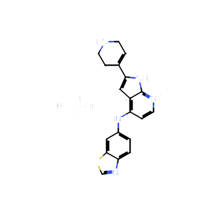 C1=C(c2cc3c(Nc4ccc5ncsc5c4)ccnc3[nH]2)CCNC1.Cl.Cl.Cl